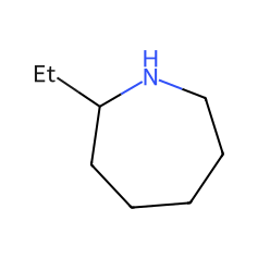 CCC1CCCCCN1